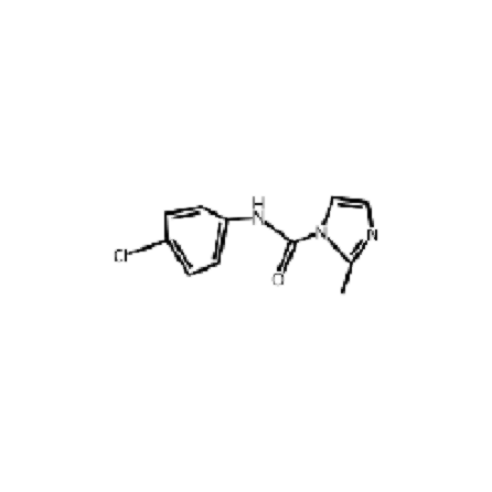 Cc1nccn1C(=O)Nc1ccc(Cl)cc1